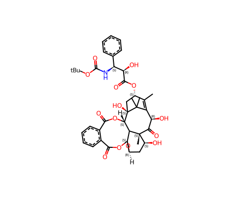 CC1=C2[C@@H](O)C(=O)[C@@]3(C)C4[C@H](OC(=O)c5ccccc5C(=O)O[C@]45CO[C@@H]5C[C@@H]3O)[C@](O)(C[C@@H]1OC(=O)[C@H](O)[C@@H](NC(=O)OC(C)(C)C)c1ccccc1)C2(C)C